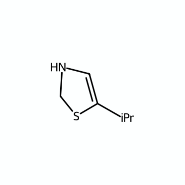 CC(C)C1=CNCS1